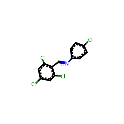 Clc1ccc(/N=C/c2c(Cl)cc(Cl)cc2Cl)cc1